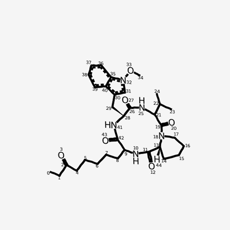 CCC(=O)CCCCCC1NC(=O)[C@H]2CCCCN2C(=O)C(C(C)C)NC(=O)[C@H](Cc2cn(OC)c3ccccc23)NC1=O